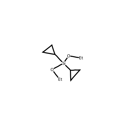 CCO[Si](OCC)(C1CC1)C1CC1